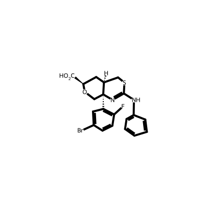 O=C(O)[C@H]1C[C@H]2CSC(Nc3ccccc3)=N[C@@]2(c2cc(Br)ccc2F)CO1